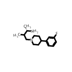 CC(CN1CCC(c2cccc(F)c2)CC1)[C@H](C)N